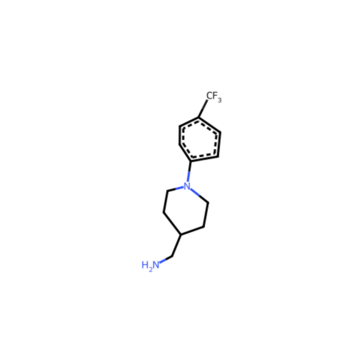 NCC1CCN(c2ccc(C(F)(F)F)cc2)CC1